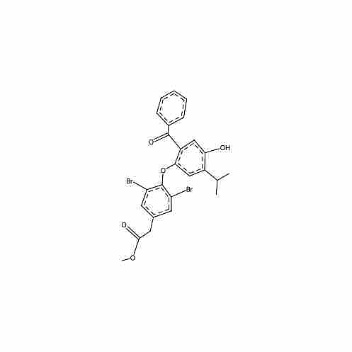 COC(=O)Cc1cc(Br)c(Oc2cc(C(C)C)c(O)cc2C(=O)c2ccccc2)c(Br)c1